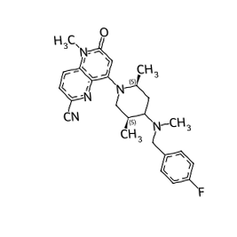 C[C@H]1CN(c2cc(=O)n(C)c3ccc(C#N)nc23)[C@@H](C)CC1N(C)Cc1ccc(F)cc1